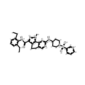 CCc1cccc(CC)c1NC(=O)c1nn(C)c2c1CCc1cnc(NC3CCN(S(=O)(=O)c4cccnc4)CC3)nc1-2